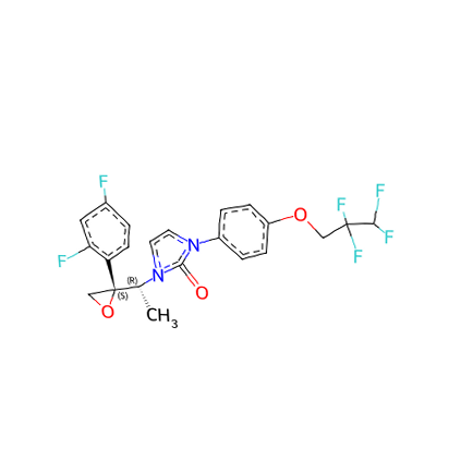 C[C@@H](n1ccn(-c2ccc(OCC(F)(F)C(F)F)cc2)c1=O)[C@@]1(c2ccc(F)cc2F)CO1